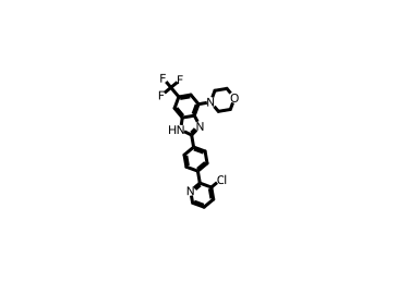 FC(F)(F)c1cc(N2CCOCC2)c2nc(-c3ccc(-c4ncccc4Cl)cc3)[nH]c2c1